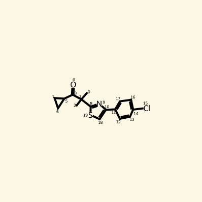 CC(C)(C(=O)C1CC1)c1nc(-c2ccc(Cl)cc2)cs1